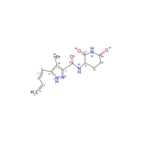 C=C/C=C\c1[nH]nc(C(=O)NC2CCC(=O)NC2=O)c1CCC